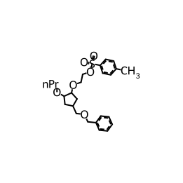 CCCOC1CC(COCc2ccccc2)CC1OCCOS(=O)(=O)c1ccc(C)cc1